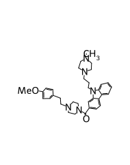 COc1ccc(CCN2CCN(C(=O)c3ccc4c5ccccc5n(CCCN5CCN(C)CC5)c4c3)CC2)cc1